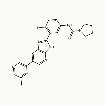 Cc1cncc(-c2cnc3[nH]c(-c4cc(NC(=O)N5CCCC5)ccc4F)nc3c2)c1